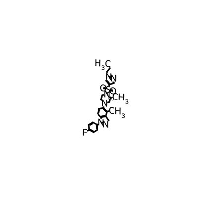 CCCn1cc(S(=O)(=O)N2CCN(c3ccc4c(cnn4-c4ccc(F)cc4)c3C)C[C@H]2C)cn1